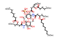 CCCCCCCCCCCCCCCCCC(=O)O[C@H](CCCCCCCCCCC)CC(=O)N[C@H]1[C@H](OC[C@H]2OC(O)[C@H](NC(=O)C[C@@H](CCCCCCCCCCC)OC(=O)CCCCCCCCCCCCCCC)[C@@H](O)[C@@H]2O)O[C@H](CO)[C@@H](OP(=O)(O)O)[C@@H]1OC(=O)C[C@@H](CCCCCCCCCCC)OC(=O)CCCCCCCCCCCCC